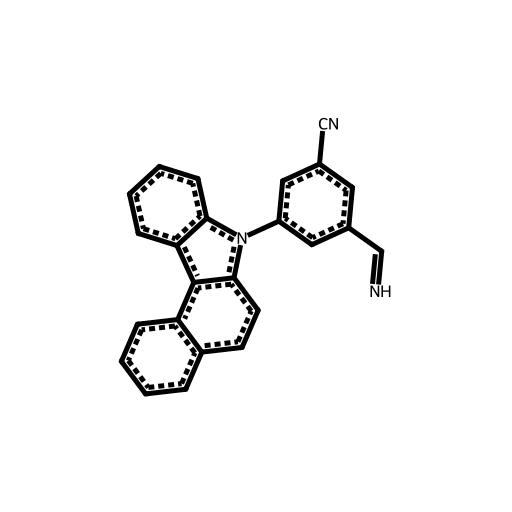 N#Cc1cc(C=N)cc(-n2c3ccccc3c3c4ccccc4ccc32)c1